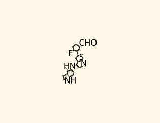 Cc1c(Nc2ccnc3sc(-c4cc(C=O)ccc4F)cc23)ccc2[nH]ccc12